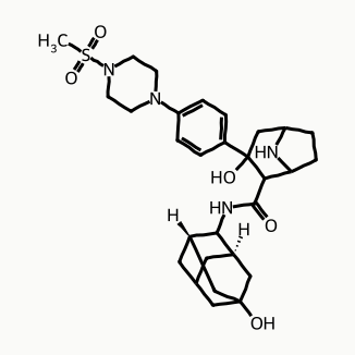 CS(=O)(=O)N1CCN(c2ccc(C3(O)CC4CCC(N4)C3C(=O)NC3[C@@H]4CC5C[C@H]3CC(O)(C5)C4)cc2)CC1